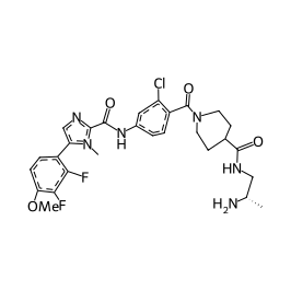 COc1ccc(-c2cnc(C(=O)Nc3ccc(C(=O)N4CCC(C(=O)NC[C@H](C)N)CC4)c(Cl)c3)n2C)c(F)c1F